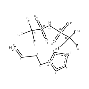 C=CCCn1ccnc1.O=S(=O)(NS(=O)(=O)C(F)(F)F)C(F)(F)F